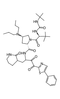 CCCN(CCC)[C@@H]1C[C@@H](C(=O)NC(CC2CCCNC2=O)C(=O)C(=O)c2ncc(-c3ccccc3)s2)N(C(=O)[C@@H](NC(=O)NC(C)(C)C)C(C)(C)C)C1